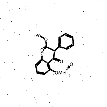 COc1cccc(Cl)c1C(=O)C(C(=O)OC(C)C)c1ccccc1.O=[PH3]